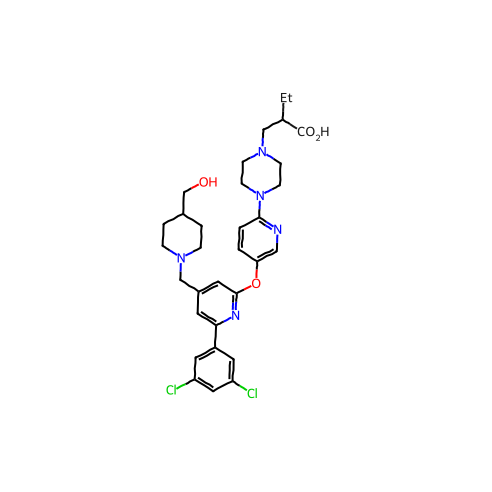 CCC(CN1CCN(c2ccc(Oc3cc(CN4CCC(CO)CC4)cc(-c4cc(Cl)cc(Cl)c4)n3)cn2)CC1)C(=O)O